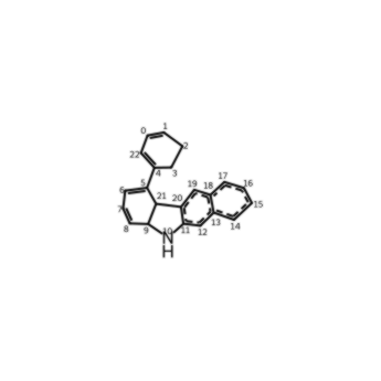 C1=CCCC(C2=CC=CC3Nc4cc5ccccc5cc4C23)=C1